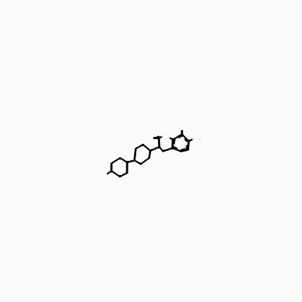 CCCC1CCC(C2CCC(C3Cc4ccc(OCC)c(F)c4OC3(F)F)CC2)CC1